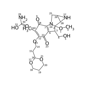 COC12C(CO)C3=C(C(=O)C(C)=C(OCCC4OCCCO4)C3=O)N1CC1NC12.NC(=O)O